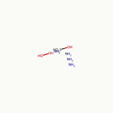 N.N.N.N.O=S(=O)(O)O.OO